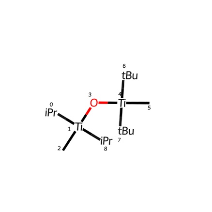 C[CH](C)[Ti]([CH3])([O][Ti]([CH3])([C](C)(C)C)[C](C)(C)C)[CH](C)C